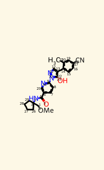 COCC1(NC(=O)c2ccc(-n3ncc(-c4ccc(C#N)cc4C)c3O)nc2)CCCC1